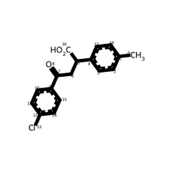 Cc1ccc(C(CC(=O)c2ccc(Cl)cc2)C(=O)O)cc1